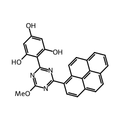 COc1nc(-c2c(O)cc(O)cc2O)nc(-c2ccc3ccc4cccc5ccc2c3c45)n1